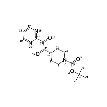 CC(C)(C)OC(=O)N1CCC(C(=O)C(=O)c2ncccn2)CC1